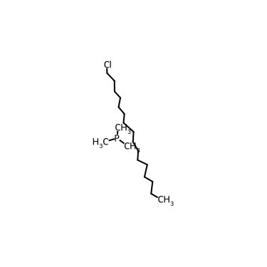 CCCCCCCCCCCCCCCCCl.CP(C)C